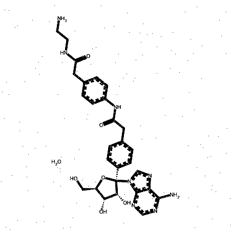 NCCNC(=O)Cc1ccc(NC(=O)Cc2ccc([C@@]3(n4cnc5c(N)ncnc54)O[C@H](CO)[C@@H](O)[C@H]3O)cc2)cc1.O